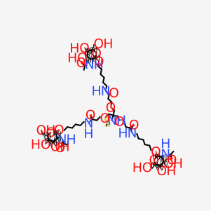 CSNC(COCCC(=O)NCCCCCCO[C@@H]1O[C@H](CO)[C@H](O)[C@H](O)[C@H]1NC(C)=O)(COCCC(=O)NCCCCCCO[C@@H]1O[C@H](CO)[C@H](O)[C@H](O)[C@H]1NC(C)=O)COCCC(=O)NCCCCCCO[C@@H]1O[C@H](CO)[C@H](O)[C@H](O)[C@H]1NC(C)=O